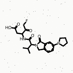 CC(C)C(C(=O)NC(CC(=O)O)C(=O)CF)N1Cc2ccc(N3CCCC3)cc2C1=O